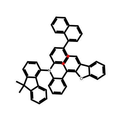 CC1(C)c2ccccc2-c2c(N(c3ccc(-c4cccc5ccccc45)cc3)c3ccccc3-c3cccc4c3oc3ccccc34)cccc21